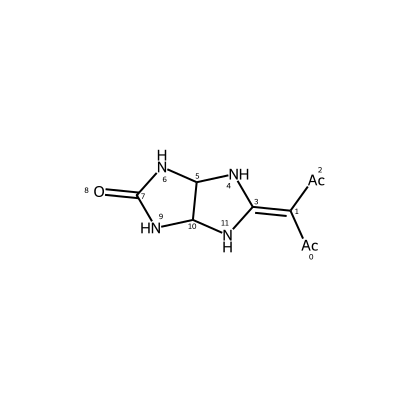 CC(=O)C(C(C)=O)=C1NC2NC(=O)NC2N1